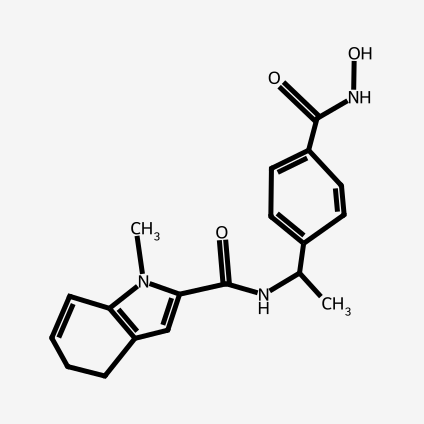 CC(NC(=O)c1cc2c(n1C)C=CCC2)c1ccc(C(=O)NO)cc1